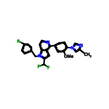 COc1cc(-c2nccc3c2cc(C(F)F)n3Cc2ccc(F)cc2)ccc1-n1cnc(C)c1